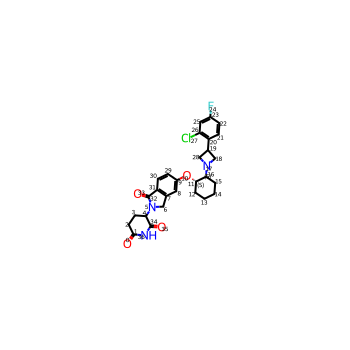 O=C1CCC(N2Cc3cc(O[C@H]4CCCC[C@@H]4N4CC(c5ccc(F)cc5Cl)C4)ccc3C2=O)C(=O)N1